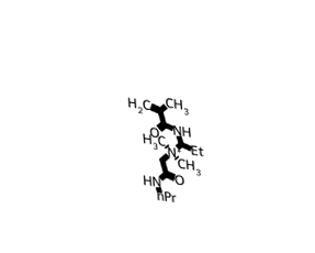 C=C(C)C(=O)NC(CC)[N+](C)(C)CC(=O)NCCC